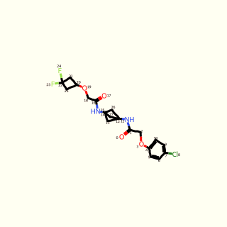 O=C(COc1ccc(Cl)cc1)NC12CC(NC(=O)COC3CC(F)(F)C3)(C1)C2